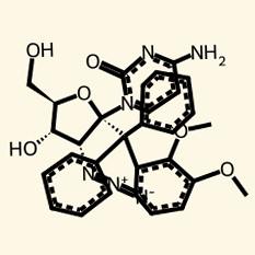 COc1cccc(C(c2ccccc2)(c2ccccc2)[C@@]2(n3ccc(N)nc3=O)O[C@H](CO)[C@@H](O)[C@H]2N=[N+]=[N-])c1OC